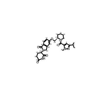 CC(C)c1cc(C(=O)N2CCCC[C@@H]2COc2ccc3c(c2)CN(C2CCC(=O)NC2=O)C3=O)n(C)n1